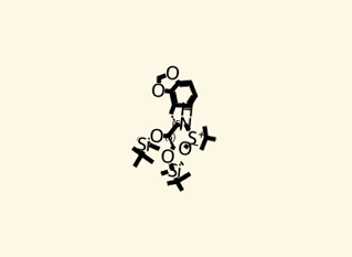 CC(C)(C)[S+]([O-])N[C@@H](Cc1cccc2c1OCO2)[C@@H](CO[Si](C)(C)C(C)(C)C)O[Si](C)(C)C(C)(C)C